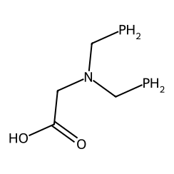 O=C(O)CN(CP)CP